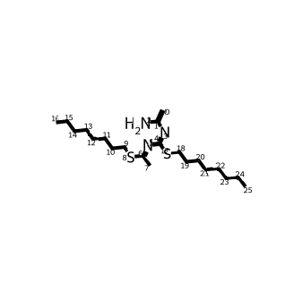 C=C(N)/N=C(\N=C(/C)SCCCCCCCC)SCCCCCCCC